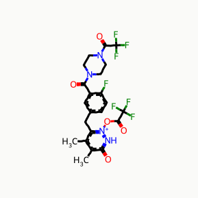 Cc1c(C)c(=O)[nH][n+](OC(=O)C(F)(F)F)c1Cc1ccc(F)c(C(=O)N2CCN(C(=O)C(F)(F)F)CC2)c1